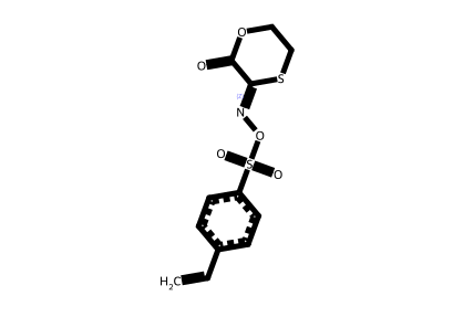 C=Cc1ccc(S(=O)(=O)O/N=C2\SCCOC2=O)cc1